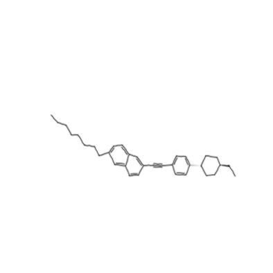 CCCCCCCCc1ccc2cc(C#Cc3ccc([C@H]4CC[C@H](CC)CC4)cc3)ccc2c1